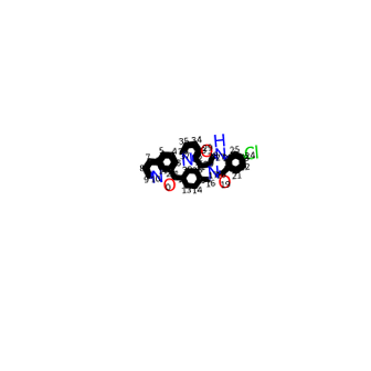 O=C(c1cccc2cccnc12)C1CCC(CN2C(=O)c3ccc(Cl)cc3NC(=O)C2Cc2ccccn2)CC1